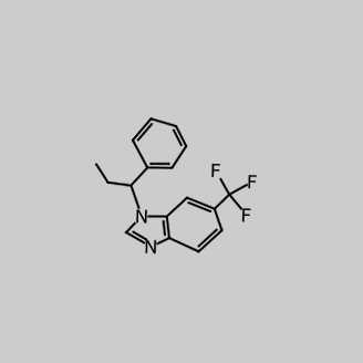 CCC(c1ccccc1)n1cnc2ccc(C(F)(F)F)cc21